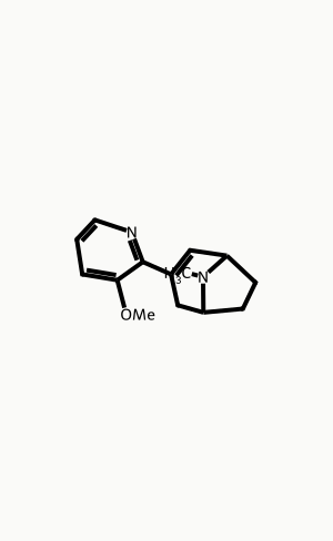 COc1cccnc1C1=CC2CCC(C1)N2C